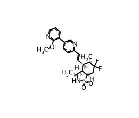 COc1ncccc1-c1ccc(C=C[C@@H]2[C@H]3[C@@H](CC(F)(F)[C@H]2C)S(=O)(=O)N[C@@H]3C)nc1